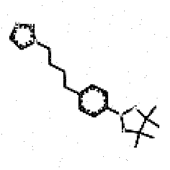 CC1(C)OB(c2ccc(CCCCn3ccnn3)cc2)OC1(C)C